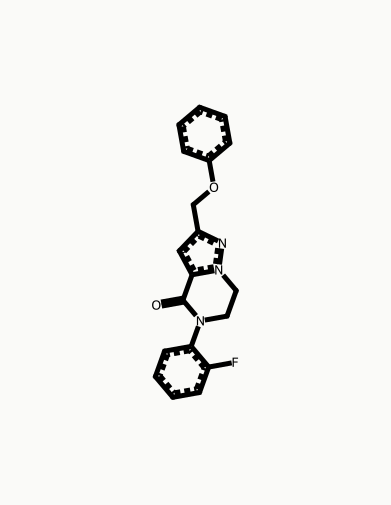 O=C1c2cc(COc3ccccc3)nn2CCN1c1ccccc1F